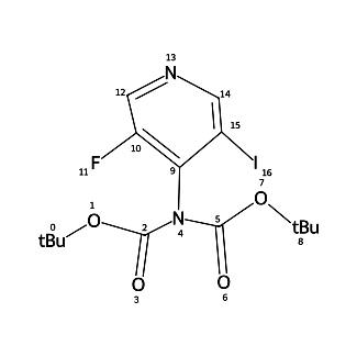 CC(C)(C)OC(=O)N(C(=O)OC(C)(C)C)c1c(F)cncc1I